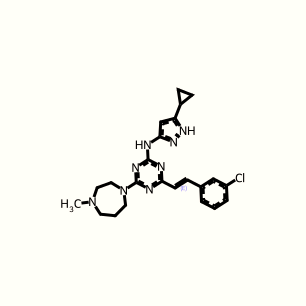 CN1CCCN(c2nc(/C=C/c3cccc(Cl)c3)nc(Nc3cc(C4CC4)[nH]n3)n2)CC1